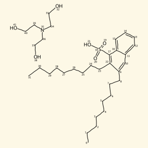 CCCCCCCCCc1cc2ccccc2c(S(=O)(=O)O)c1CCCCCCCCC.OCCN(CCO)CCO